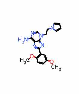 COc1ccc(OC)c(-c2nc3c(N)ncn(CCn4cccc4)c-3n2)c1